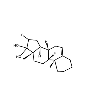 C[C@]12CCCCC1=CC[C@@H]1[C@H]2CC[C@@]2(C)[C@H]1CC(F)C2(O)O